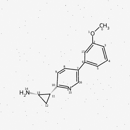 COc1cccc(-c2ccc([C@@H]3C[C@@H]3N)nc2)c1